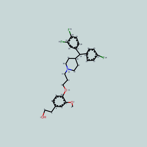 COc1cc(CCO)ccc1OCCCN1CCC(C(c2ccc(F)cc2)c2ccc(F)c(F)c2)CC1